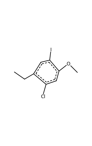 CCc1cc(I)c(OC)cc1Cl